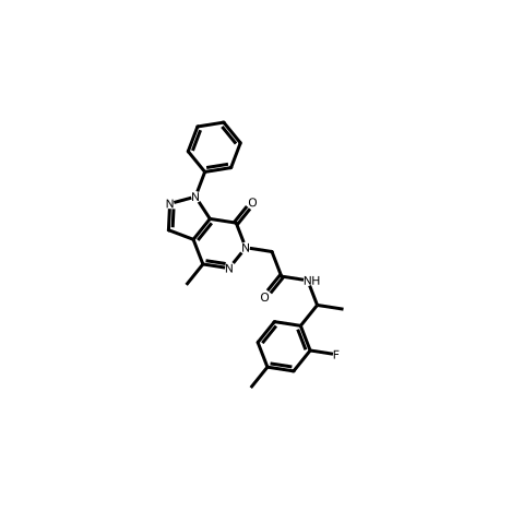 Cc1ccc(C(C)NC(=O)Cn2nc(C)c3cnn(-c4ccccc4)c3c2=O)c(F)c1